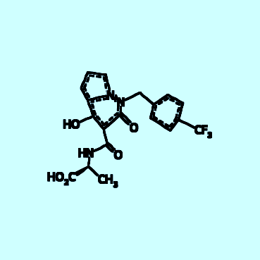 C[C@H](NC(=O)c1c(O)c2cccn2n(Cc2ccc(C(F)(F)F)cc2)c1=O)C(=O)O